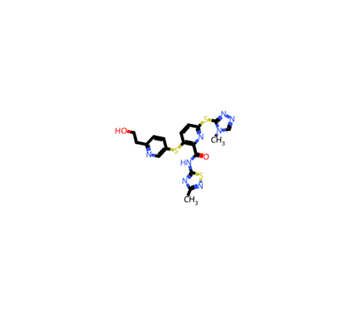 Cc1nsc(NC(=O)c2nc(Sc3nncn3C)ccc2Sc2ccc(CCO)nc2)n1